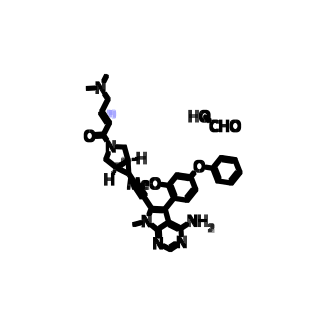 COc1cc(Oc2ccccc2)ccc1-c1c(C#CC2[C@H]3CN(C(=O)/C=C/CN(C)C)C[C@@H]23)n(C)c2ncnc(N)c12.O=CO